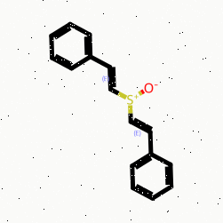 [O-][S+](/C=C/c1ccccc1)/C=C/c1ccccc1